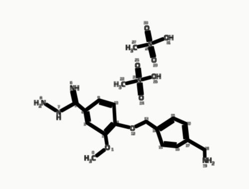 COc1cc(C(=N)NN)ccc1OCc1ccc(CN)cc1.CS(=O)(=O)O.CS(=O)(=O)O